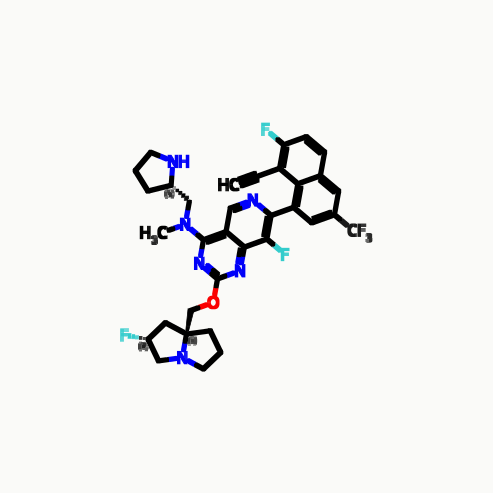 C#Cc1c(F)ccc2cc(C(F)(F)F)cc(-c3ncc4c(N(C)C[C@@H]5CCCN5)nc(OC[C@@]56CCCN5C[C@H](F)C6)nc4c3F)c12